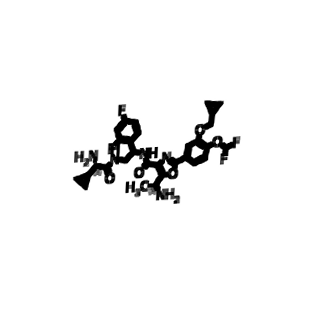 C[C@H](N)c1oc(-c2ccc(OC(F)F)c(OCC3CC3)c2)nc1C(=O)NC(CNC(=O)[C@@H](N)C1CC1)c1ccc(F)cc1F